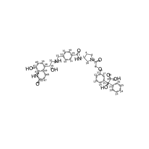 O=C(N[C@@H]1CCN(C(=O)COc2cccc([C@](O)(C(=O)O)c3ccccc3)c2)C1)c1ccc(CNC[C@H](O)c2ccc(O)c3[nH]c(=O)ccc23)cc1